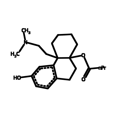 CCCC(=O)OC12CCCCC1(CCN(C)C)c1cc(O)ccc1CC2